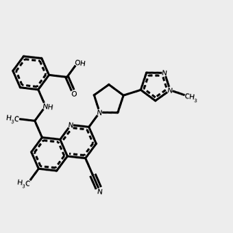 Cc1cc(C(C)Nc2ccccc2C(=O)O)c2nc(N3CCC(c4cnn(C)c4)C3)cc(C#N)c2c1